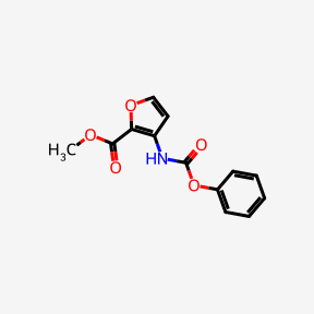 COC(=O)c1occc1NC(=O)Oc1ccccc1